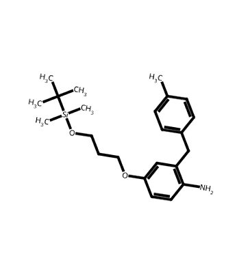 Cc1ccc(Cc2cc(OCCCO[Si](C)(C)C(C)(C)C)ccc2N)cc1